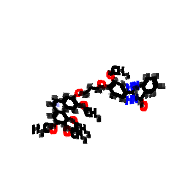 COc1cc(C2NC(=O)c3ccccc3N2)ccc1OCCCOc1cc(/C=C\c2cc(OC)c(OC)c(OC)c2)ccc1OC